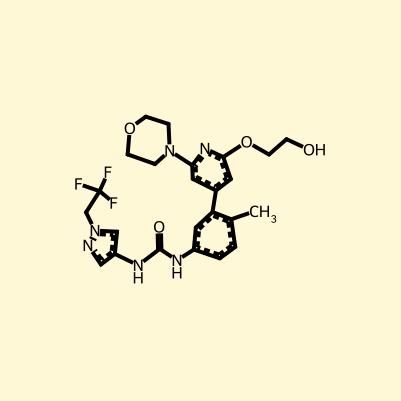 Cc1ccc(NC(=O)Nc2cnn(CC(F)(F)F)c2)cc1-c1cc(OCCO)nc(N2CCOCC2)c1